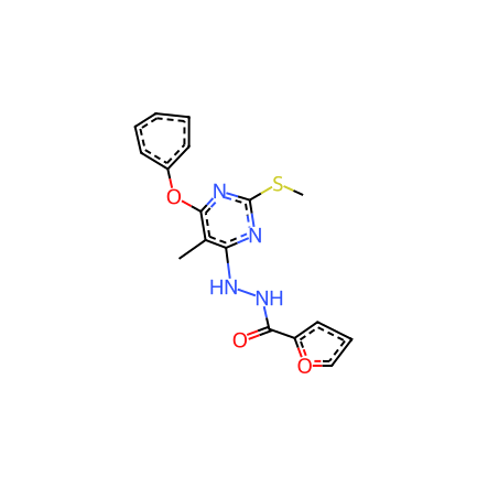 CSc1nc(NNC(=O)c2ccco2)c(C)c(Oc2ccccc2)n1